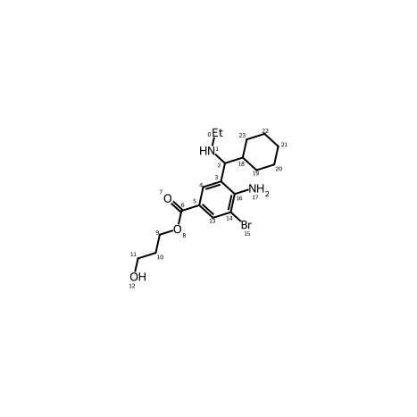 CCNC(c1cc(C(=O)OCCCO)cc(Br)c1N)C1CCCCC1